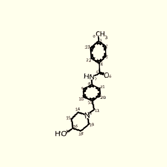 Cc1ccc(C(=O)Nc2ccc(CN3CCC(O)CC3)cc2)cc1